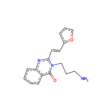 NCCCn1c(C=Cc2ccco2)nc2ccccc2c1=O